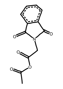 CC(=O)OC(=O)CN1C(=O)c2ccccc2C1=O